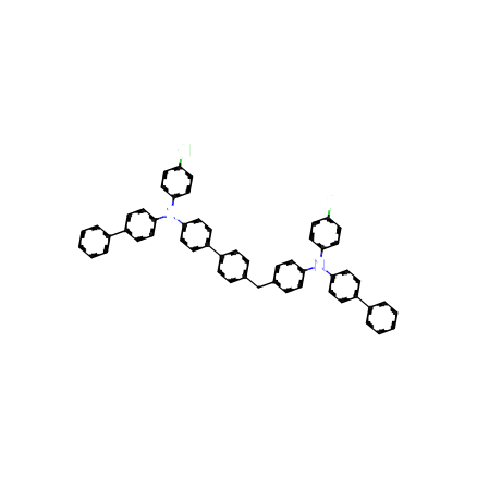 Clc1ccc(N(c2ccc(Cc3ccc(-c4ccc(N(c5ccc(Cl)cc5)c5ccc(-c6ccccc6)cc5)cc4)cc3)cc2)c2ccc(-c3ccccc3)cc2)cc1